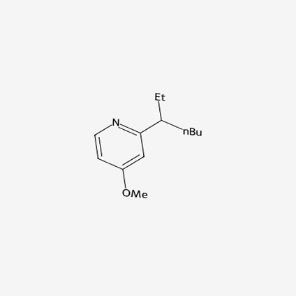 CCCCC(CC)c1cc(OC)ccn1